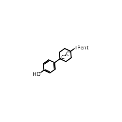 CCCCCC12CCC(c3ccc(O)cc3)(CC1)CC2